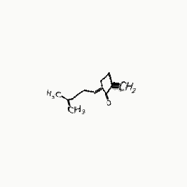 C=C1CCC(=CCC(C)C)C1=O